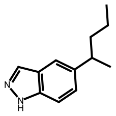 CCCC(C)c1ccc2[nH]ncc2c1